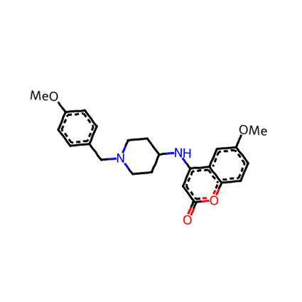 COc1ccc(CN2CCC(Nc3cc(=O)oc4ccc(OC)cc34)CC2)cc1